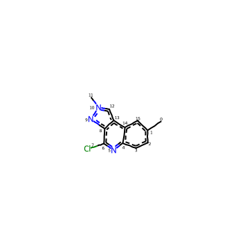 Cc1ccc2nc(Cl)c3nn(C)cc3c2c1